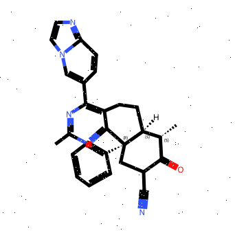 Cc1nc(-c2ccc3nccn3c2)c2c(n1)[C@]1(c3ccccc3)CC(C#N)C(=O)[C@@H](C)[C@@H]1CC2